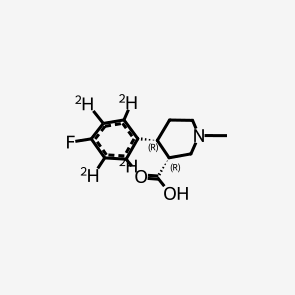 [2H]c1c([2H])c([C@@H]2CCN(C)C[C@@H]2C(=O)O)c([2H])c([2H])c1F